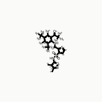 [2H]c1c(C(=O)C([2H])([2H])[2H])c(NC(=O)c2sccc2S(=O)(=O)Nc2onc(C)c2C)c(C([2H])([2H])[2H])c([2H])c1C([2H])([2H])[2H]